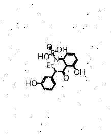 CCC(C(=O)C1C(O)=CC=CC1=NP(=O)(O)O)c1cccc(O)c1